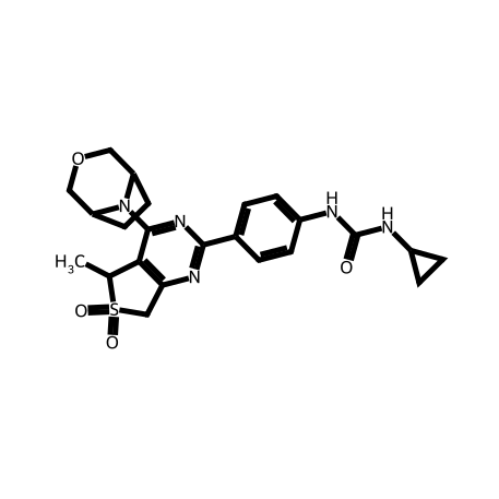 CC1c2c(nc(-c3ccc(NC(=O)NC4CC4)cc3)nc2N2C3CCC2COC3)CS1(=O)=O